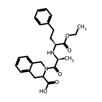 CCOC(=O)[C@H](CCc1ccccc1)N[C@@H](C)C(=O)N1Cc2ccccc2CC1C(=O)O